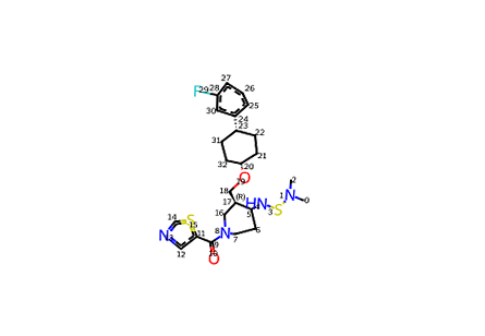 CN(C)SNC1CCN(C(=O)c2cncs2)C[C@H]1CO[C@H]1CC[C@@H](c2cccc(F)c2)CC1